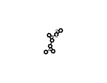 c1ccc(-n2c3ccccc3c3cc(-c4ccc5c(c4)c4ccccc4n5-c4cc5oc6ccccc6c5cn4)ccc32)cc1